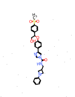 CS(=O)(=O)c1ccc(C(CO)Oc2ccc(-c3cn(C(=O)NCC4CN(c5ccccc5)C4)cn3)cc2)cc1